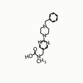 CN(Cc1cnc(N2CCN(Cc3ccccc3)CC2)nc1)C(=O)O